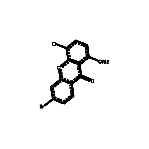 COc1ccc(Cl)c2oc3cc(Br)ccc3c(=O)c12